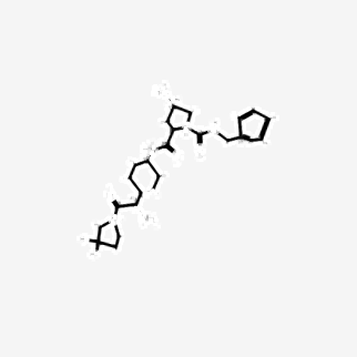 N[C@H](C(=O)N1CCC(F)(F)C1)[C@H]1CC[C@H](NC(=O)C2C[C@@H](O)CN2C(=O)OCc2ccccc2)CC1